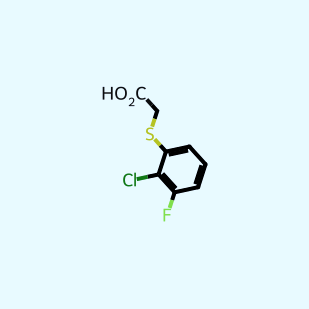 O=C(O)CSc1cccc(F)c1Cl